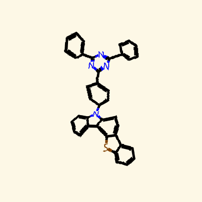 c1ccc(-c2nc(-c3ccccc3)nc(-c3ccc(-n4c5ccccc5c5c6sc7ccccc7c6ccc54)cc3)n2)cc1